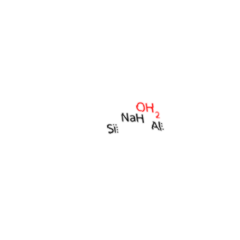 O.[Al].[NaH].[Si]